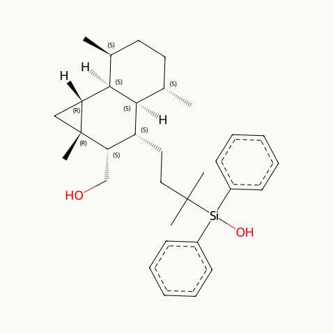 C[C@H]1CC[C@H](C)[C@H]2[C@@H]1[C@H](CCC(C)(C)[Si](O)(c1ccccc1)c1ccccc1)[C@H](CO)[C@]1(C)C[C@H]21